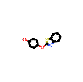 [O]c1ccc(Oc2nc3ccccc3s2)cc1